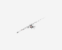 CCCCCCCCCCCCCCCCCCOC(=O)CCCCCCCCCCCCCCCCC.OCC(O)CO